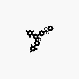 Cc1cc(C)c(-c2ccc3oc4c(-c5ccc(-c6nc7ccccc7o6)cc5)cc(-c5c(C)cc(C)cc5C)cc4c3c2)c(C)c1